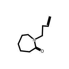 C=CCCN1CCCCCC1=O